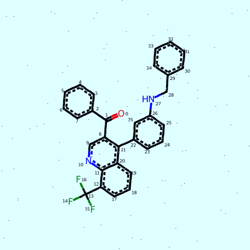 O=C(c1ccccc1)c1cnc2c(C(F)(F)F)cccc2c1-c1cccc(NCc2c[c]ccc2)c1